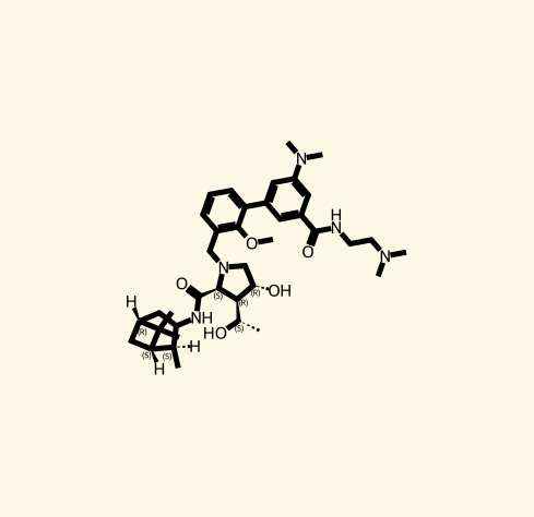 COc1c(CN2C[C@H](O)[C@@H]([C@H](C)O)[C@H]2C(=O)NC2C[C@H]3C[C@@H]([C@@H]2C)C3(C)C)cccc1-c1cc(C(=O)NCCN(C)C)cc(N(C)C)c1